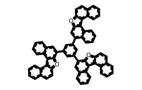 c1ccc2c(c1)ccc1oc3cc(-c4cc(-c5cc6ccccc6c6c5oc5ccc7ccccc7c56)cc(-c5cc6ccccc6c6c5oc5ccc7ccccc7c56)c4)c4ccccc4c3c12